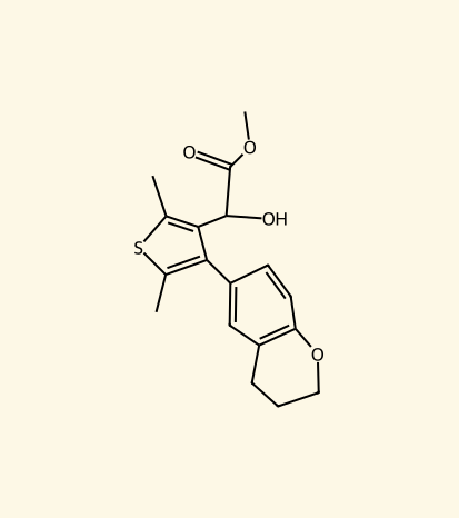 COC(=O)C(O)c1c(C)sc(C)c1-c1ccc2c(c1)CCCO2